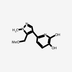 COCc1c(-c2ccc(O)c(O)n2)cnn1C